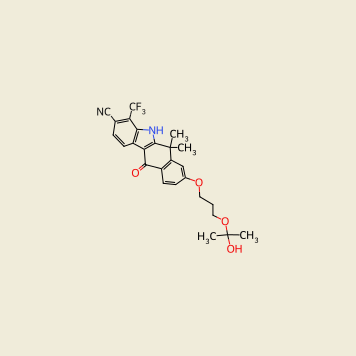 CC(C)(O)OCCCOc1ccc2c(c1)C(C)(C)c1[nH]c3c(C(F)(F)F)c(C#N)ccc3c1C2=O